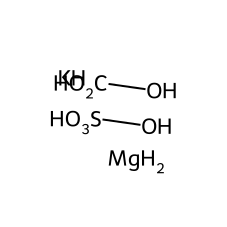 O=C(O)O.O=S(=O)(O)O.[KH].[MgH2]